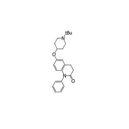 CC(C)(C)N1CCC(Oc2ccc3c(c2)CCC(=O)N3c2ccccc2)CC1